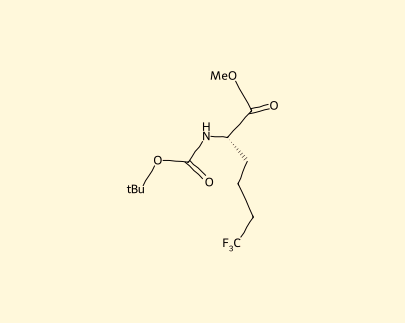 COC(=O)[C@H](CCCC(F)(F)F)NC(=O)OC(C)(C)C